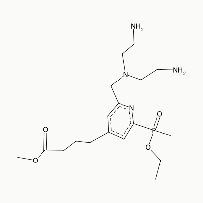 CCOP(C)(=O)c1cc(CCCC(=O)OC)cc(CN(CCN)CCN)n1